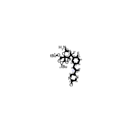 CC(C)(C)OC(=O)C1(C(=O)OC(C)(C)C)OC(N)=N[C@](C)(c2cc(/C=C(\F)c3cnc(Cl)cn3)ccc2F)C1(F)F